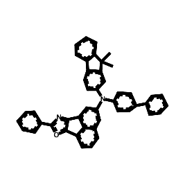 CC1(C)c2ccccc2-c2ccc(N(c3ccc(-c4ccccc4)cc3)c3cc4c5c(cccc5c3)-c3oc(-c5ccccc5)nc3-4)cc21